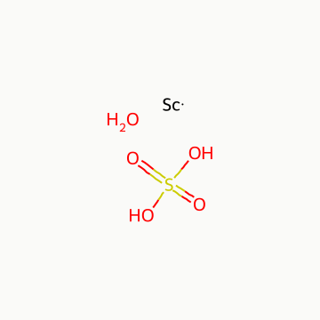 O.O=S(=O)(O)O.[Sc]